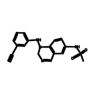 C#Cc1cccc(NN2CN=Cc3cc(NS(C)(=O)=O)ccc32)c1